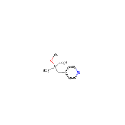 CC(C)(C)OC(Cc1ccncc1)(C(=O)O)C(=O)O